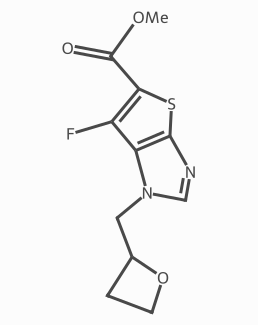 COC(=O)c1sc2ncn(CC3CCO3)c2c1F